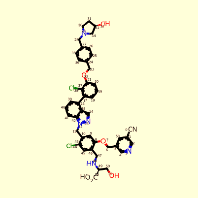 N#Cc1cncc(COc2cc(Cn3ncc4c(-c5cccc(OCc6ccc(CN7CC[C@@H](O)C7)cc6)c5Cl)cccc43)c(Cl)cc2CN[C@@H](CO)C(=O)O)c1